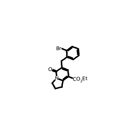 CCOC(=O)c1cc(Cc2ccccc2Br)c(=O)n2c1CCC2